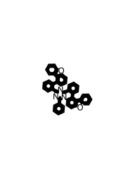 C1=Cc2oc3cccc(-c4ccccc4-c4nc(-c5ccccc5)nc(-c5ccccc5-c5cccc6oc7ccccc7c56)n4)c3c2CC1